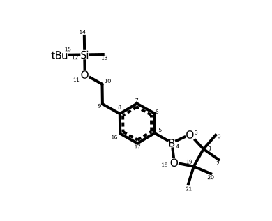 CC1(C)OB(c2ccc(CCO[Si](C)(C)C(C)(C)C)cc2)OC1(C)C